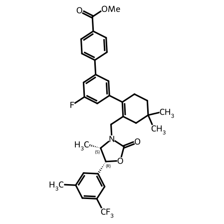 COC(=O)c1ccc(-c2cc(F)cc(C3=C(CN4C(=O)O[C@H](c5cc(C)cc(C(F)(F)F)c5)[C@@H]4C)CC(C)(C)CC3)c2)cc1